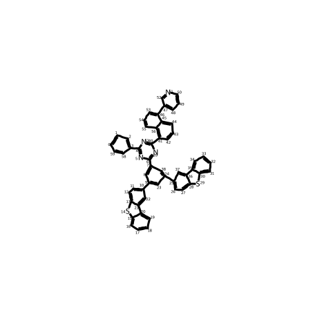 c1ccc(-c2nc(-c3cc(-c4ccc5sc6ccccc6c5c4)cc(-c4ccc5sc6ccccc6c5c4)c3)nc(-c3cccc4c(-c5cccnc5)cccc34)n2)cc1